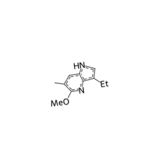 CCc1c[nH]c2cc(C)c(OC)nc12